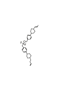 C=CCCC1CCC(c2ccc(CC(F)(F)OCc3ccc(C4CCC(C=CC)CC4)cc3)cc2)CC1